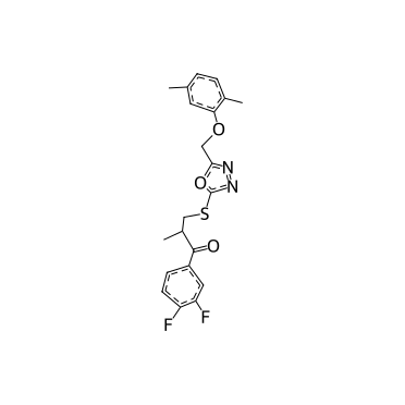 Cc1ccc(C)c(OCc2nnc(SCC(C)C(=O)c3ccc(F)c(F)c3)o2)c1